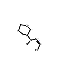 CC/C=N\N(C)C1CCCOC1